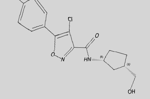 O=C(N[C@@H]1CC[C@H](CO)C1)c1noc(-c2ccc(F)cc2)c1Cl